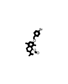 C=C(C)C1CCc2c(C)cc(OCc3ccc(Br)cc3)c(C)c2[C@@H]1OC=O